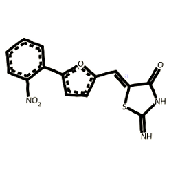 N=C1NC(=O)/C(=C/c2ccc(-c3ccccc3[N+](=O)[O-])o2)S1